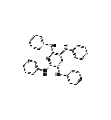 c1ccc(Nc2cc(Nc3ccccc3)c(Nc3ccccc3)nc2Nc2ccccc2)cc1